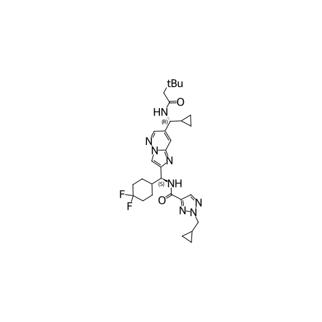 CC(C)(C)CC(=O)N[C@@H](c1cnn2cc([C@@H](NC(=O)c3cnn(CC4CC4)n3)C3CCC(F)(F)CC3)nc2c1)C1CC1